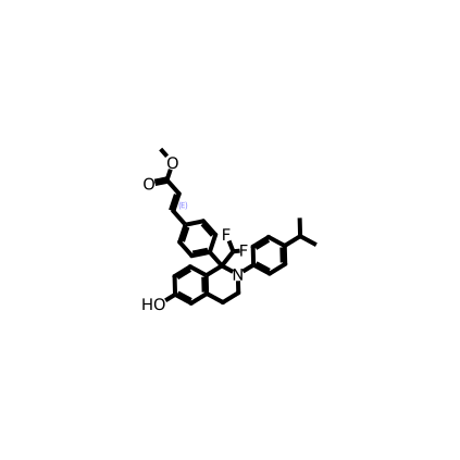 COC(=O)/C=C/c1ccc(C2(C(F)F)c3ccc(O)cc3CCN2c2ccc(C(C)C)cc2)cc1